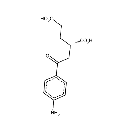 Nc1ccc(C(=O)C[C@H](CCC(=O)O)C(=O)O)cc1